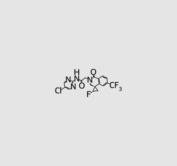 O=C(CN1C[C@]2(C[C@H]2F)c2cc(C(F)(F)F)ccc2C1=O)Nc1ncc(Cl)cn1